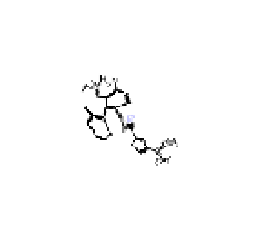 CC1=C(c2c(/N=C/c3cc(B(O)O)cs3)ccc(N)c2C=N)CCCC1